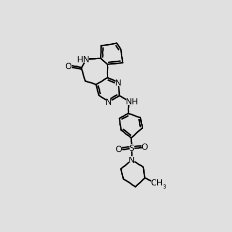 CC1CCCN(S(=O)(=O)c2ccc(Nc3ncc4c(n3)-c3ccccc3NC(=O)C4)cc2)C1